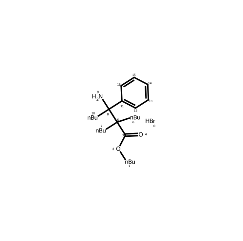 Br.CCCCOC(=O)C(CCCC)(CCCC)C(N)(CCCC)c1ccccc1